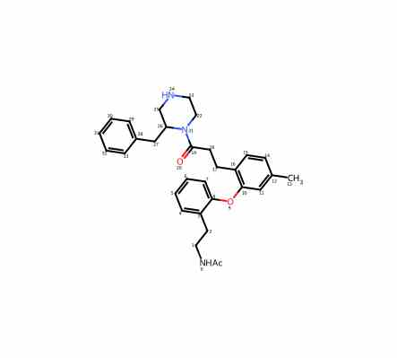 CC(=O)NCCc1ccccc1Oc1cc(C)ccc1CCC(=O)N1CCNCC1Cc1ccccc1